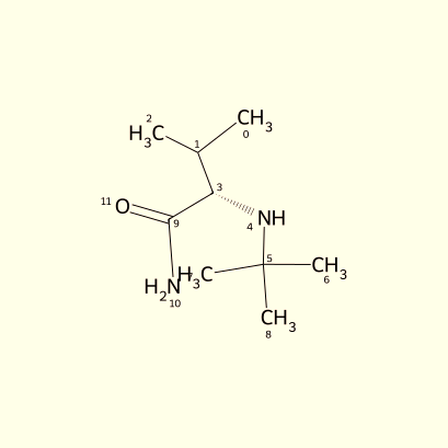 CC(C)[C@H](NC(C)(C)C)C(N)=O